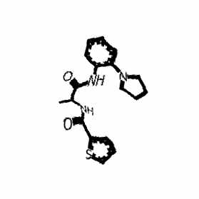 CC(NC(=O)c1cccs1)C(=O)Nc1ccccc1N1CCCC1